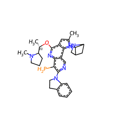 Cc1cc2c(O[C@@H](C)C3CCCN3C)nc3c(P)c(N4CCc5ccccc54)ncc3c2n1C1C2CNC1C2